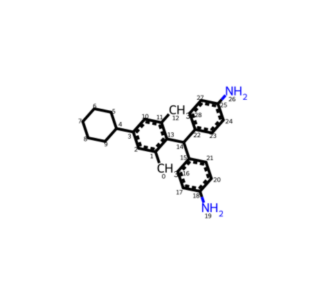 Cc1cc(C2CCCCC2)cc(C)c1C(c1ccc(N)cc1)c1ccc(N)cc1